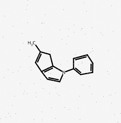 CC1=Cc2ccn(-c3ccccc3)c2C1